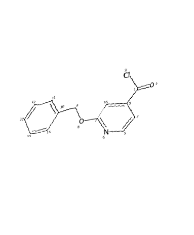 O=C(Cl)c1ccnc(OCc2ccccc2)c1